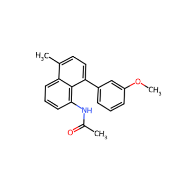 COc1cccc(-c2ccc(C)c3cccc(NC(C)=O)c23)c1